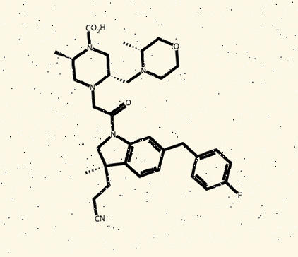 C[C@@H]1COCCN1C[C@H]1CN(C(=O)O)[C@H](C)CN1CC(=O)N1C[C@](C)(CCC#N)c2ccc(Cc3ccc(F)cc3)cc21